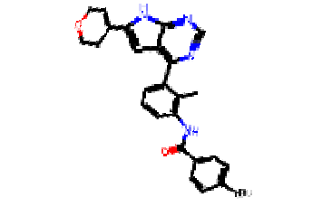 Cc1c(NC(=O)c2ccc(C(C)(C)C)cc2)cccc1-c1ncnc2[nH]c(C3=CCOCC3)cc12